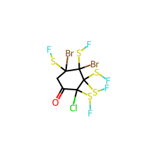 O=C1CC(Br)(SF)C(Br)(SF)C(SF)(SF)C1(Cl)SF